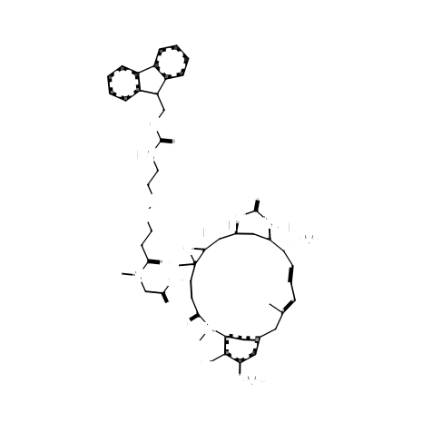 COc1cc2cc(c1Cl)N(C)C(=O)C[C@H](OC(=O)[C@H](C)N(C)C(=O)CCSSCCNC(=O)OCC1c3ccccc3-c3ccccc31)C1(C)O[C@H]1[C@H](C)[C@@H]1C[C@@](O)(NC(=O)O1)[C@H](OC)/C=C/C=C(\C)C2